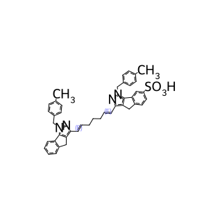 Cc1ccc(Cn2nc(/C=C/CCC/C=C/c3nn(Cc4ccc(C)cc4)c4c3Cc3ccc(S(=O)(=O)O)cc3-4)c3c2-c2ccccc2C3)cc1